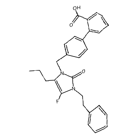 CCCc1c(F)n(CCc2ccccc2)c(=O)n1Cc1ccc(-c2ccccc2C(=O)O)cc1